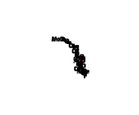 CNC(=O)c1c(-c2ccc(F)cc2)oc2cc3c(cc12)[C@H](C)O[C@H](COC(=O)CN(C)CCOCCOCCOC)CN3S(C)(=O)=O